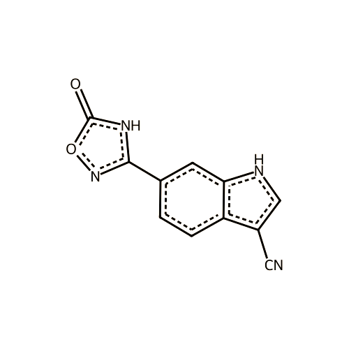 N#Cc1c[nH]c2cc(-c3noc(=O)[nH]3)ccc12